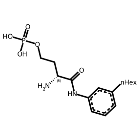 CCCCCCc1cccc(NC(=O)[C@H](N)CCOP(=O)(O)O)c1